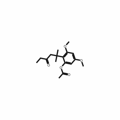 CCC(=O)CC(C)(C)c1c(OC)cc(OC)cc1OC(C)=O